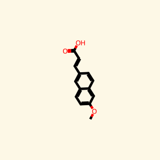 COc1ccc2cc(C=CC(=O)O)ccc2c1